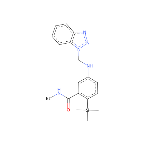 CCNC(=O)c1cc(NCn2nnc3ccccc32)ccc1[Si](C)(C)C